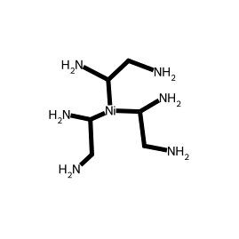 NC[CH](N)[Ni]([CH](N)CN)[CH](N)CN